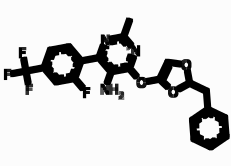 Cc1nc(OC2=COC(Cc3ccccc3)O2)c(N)c(-c2ccc(C(F)(F)F)cc2F)n1